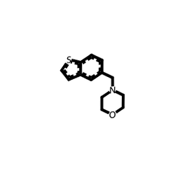 c1cc2cc(CN3CCOCC3)ccc2s1